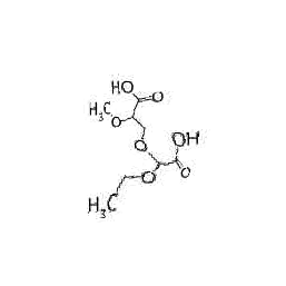 CCOC(OCC(OC)C(=O)O)C(=O)O